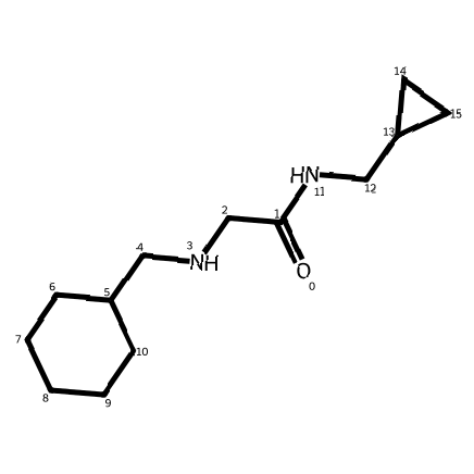 O=C(CNCC1CCCCC1)NCC1CC1